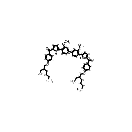 CCCCC(CC)COc1ccc(C(=O)c2ccc(-c3ccc(-c4ccc(-c5ccc(C(=O)c6ccc(OCC(CC)CCCC)cc6)[nH]5)c(OC)c4)cc3OC)[nH]2)cc1